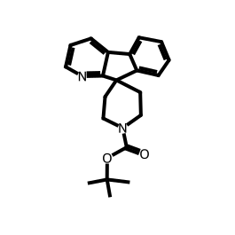 CC(C)(C)OC(=O)N1CCC2(CC1)c1ccccc1-c1cccnc12